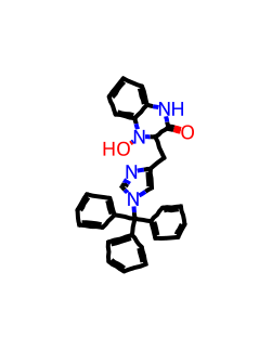 O=C1Nc2ccccc2N(O)C1Cc1cn(C(c2ccccc2)(c2ccccc2)c2ccccc2)cn1